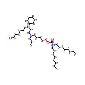 CCCCCCCCN(CCCCCCCC)C(=O)OCCCCCN(CCC)CCN(CCCCCC=O)C1CCCCC1